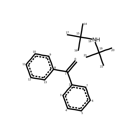 C=C(c1ccccc1)c1ccccc1.CC(C)(C)NC(C)(C)C